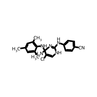 Cc1cc(C)c(NC2(N)N=C(Nc3ccc(C#N)cc3)NC=C2Cl)c(C)c1